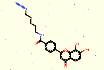 [N-]=[N+]=NCCCCCNC(=O)c1ccc(-c2cc(=O)c3ccc(O)c(O)c3o2)cc1